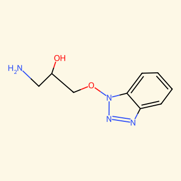 NCC(O)COn1nnc2ccccc21